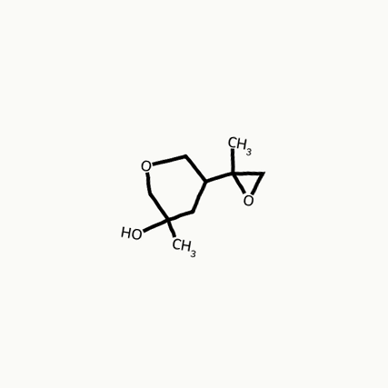 CC1(O)COCC(C2(C)CO2)C1